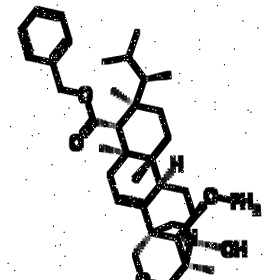 CC(C)[C@@H](C)[C@@]1(C)CC[C@]2(C)[C@H]3CC[C@@H]4[C@@]5(COC[C@]4(C)[C@@H](O)[C@H](OP)C5)C3=CC[C@@]2(C)[C@@H]1C(=O)OCc1ccccc1